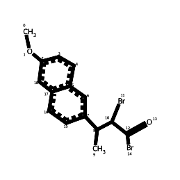 COc1ccc2cc(C(C)C(Br)C(=O)Br)ccc2c1